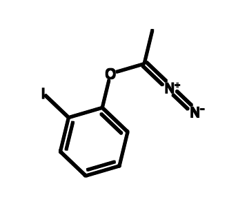 CC(=[N+]=[N-])Oc1ccccc1I